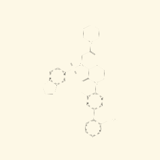 COc1ccccc1-c1ccc(N2CCCC(N(CC(=O)N3CCOCC3)S(=O)(=O)c3ccc4c(c3)OCO4)C2=O)c(F)c1